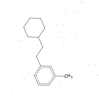 Cc1cccc(CCC2CCCCC2)c1